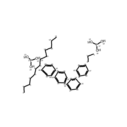 CCC.CCCCCCCCCCCCC.OP(O)O.OP(O)O.c1ccccc1.c1ccccc1.c1ccccc1.c1ccccc1